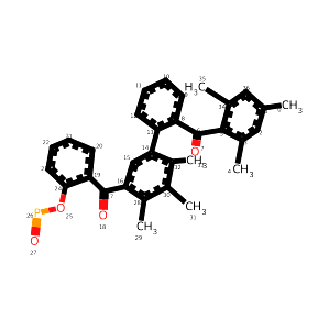 Cc1cc(C)c(C(=O)c2ccccc2-c2cc(C(=O)c3ccccc3OP=O)c(C)c(C)c2C)c(C)c1